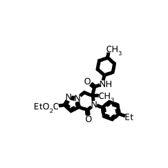 CCOC(=O)c1cc2n(n1)CC(C)(C(=O)NC1CCC(C)CC1)N(c1ccc(CC)cc1)C2=O